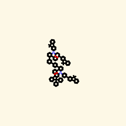 CC1(C)c2ccccc2-c2ccc(C3=CC=C(N(c4ccc5c(c4)C(C)(C)c4ccccc4-5)c4cccc(-c5cccc(-c6ccc(-c7cccc(N(c8ccc(-c9ccc%10c(c9)C(C)(C)c9ccccc9-%10)cc8)c8ccc9c(c8)C(c8ccccc8)(c8ccccc8)c8ccccc8-9)c7-c7ccccc7)cc6)c5)c4-c4ccccc4)CC3)cc21